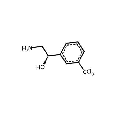 NC[C@H](O)c1cccc(C(Cl)(Cl)Cl)c1